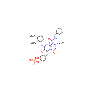 C=CCN1CC(=O)N2[C@@H](Cc3ccc(OP(=O)(O)O)cc3)C(=O)N(Cc3cccc(OC)c3OC)C[C@@H]2N1C(=O)NCc1ccccc1